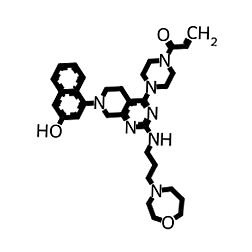 C=CC(=O)N1CCN(c2nc(NCCCN3CCCOCC3)nc3c2CCN(c2cc(O)cc4ccccc24)C3)CC1